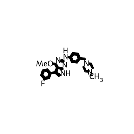 COc1nc(Nc2ccc(CN3CCN(C)CC3)cc2)nc2[nH]cc(-c3cccc(F)c3)c12